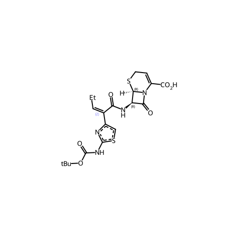 CC/C=C(\C(=O)N[C@@H]1C(=O)N2C(C(=O)O)=CCS[C@H]12)c1csc(NC(=O)OC(C)(C)C)n1